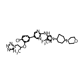 CC(Cn1cnnn1)Oc1cc(-c2cnc(Nc3cn(C4CCC(N5CCOCC5)CC4)nc3C(F)(F)F)nc2)ccc1Cl